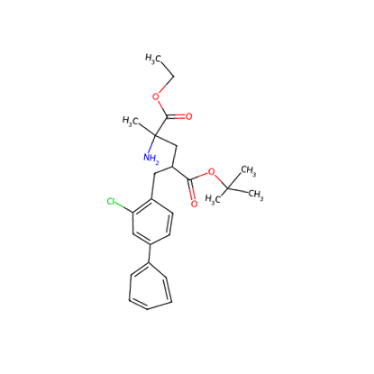 CCOC(=O)C(C)(N)CC(Cc1ccc(-c2ccccc2)cc1Cl)C(=O)OC(C)(C)C